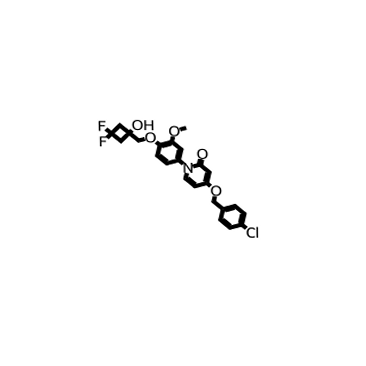 COc1cc(-n2ccc(OCc3ccc(Cl)cc3)cc2=O)ccc1OCC1(O)CC(F)(F)C1